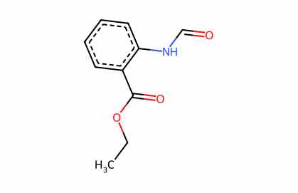 CCOC(=O)c1ccccc1NC=O